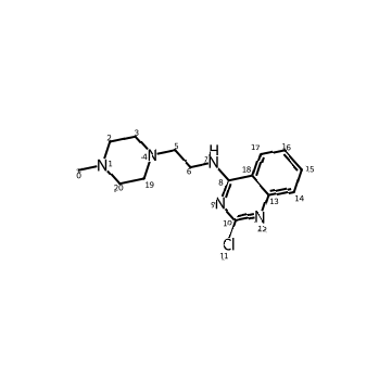 CN1CCN(CCNc2nc(Cl)nc3ccccc23)CC1